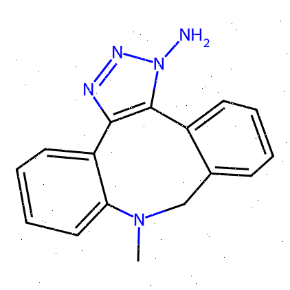 CN1Cc2ccccc2-c2c(nnn2N)-c2ccccc21